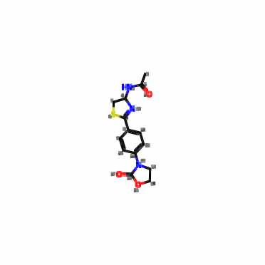 CC(=O)NC1CSC(c2ccc(N3CCOC3=O)cc2)=N1